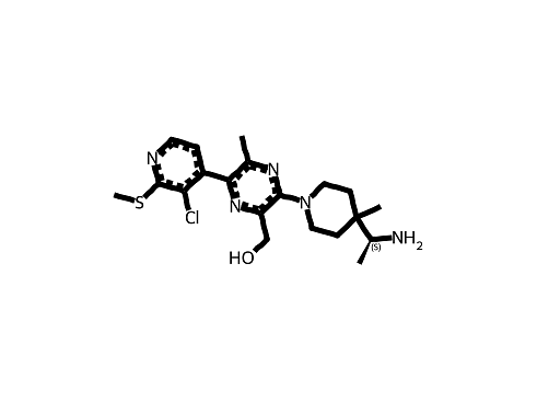 CSc1nccc(-c2nc(CO)c(N3CCC(C)([C@H](C)N)CC3)nc2C)c1Cl